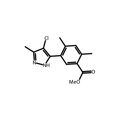 COC(=O)c1cc(-c2[nH]nc(C)c2Cl)c(C)cc1C